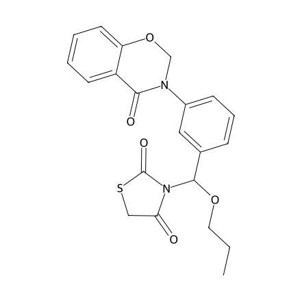 CCCOC(c1cccc(N2COc3ccccc3C2=O)c1)N1C(=O)CSC1=O